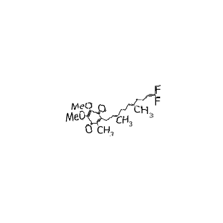 COC1=C(OC)C(=O)C(C/C=C(\C)CC/C=C(\C)CCC=C(F)F)=C(C)C1=O